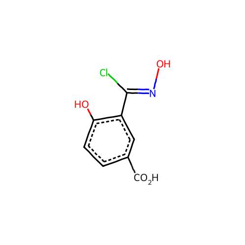 O=C(O)c1ccc(O)c(/C(Cl)=N/O)c1